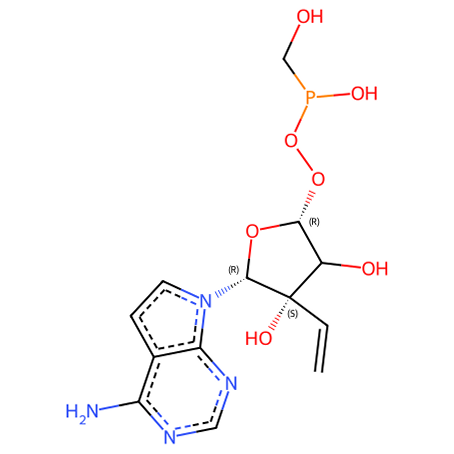 C=C[C@]1(O)C(O)[C@@H](OOP(O)CO)O[C@H]1n1ccc2c(N)ncnc21